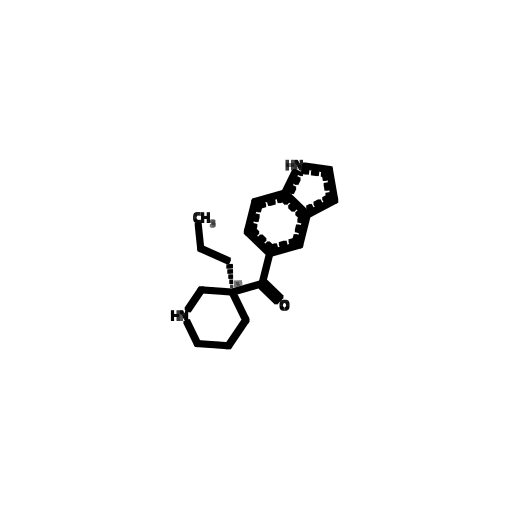 CCC[C@]1(C(=O)c2ccc3[nH]ccc3c2)CCCNC1